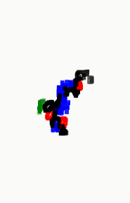 O=C(CCC(F)(F)F)NC(c1cnn2cc([C@@H](NC(=O)c3ccnc(OC4CC4)c3)C3CCC(F)(F)CC3)nc2c1)C1CC1